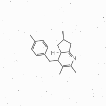 CC1=C(C)C(Cc2ccc(C)cc2)[C@H]2C[C@@H](C)CC2=N1